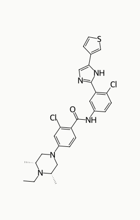 CCN1[C@H](C)CN(c2ccc(C(=O)Nc3ccc(Cl)c(-c4ncc(-c5ccsc5)[nH]4)c3)c(Cl)c2)C[C@@H]1C